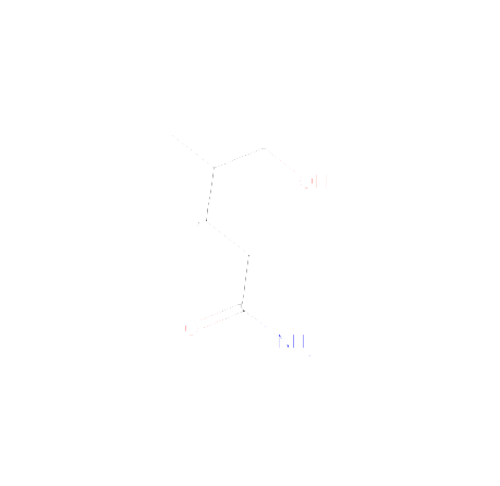 CC(CO)CCC(N)=O